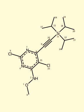 CONc1nc(Cl)nc(C#C[Si](C(C)C)(C(C)C)C(C)C)c1Cl